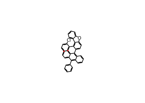 Clc1ccccc1-c1c(-c2c3ccccc3c(-c3ccccc3)c3ccccc23)ccc2oc3ccccc3c12